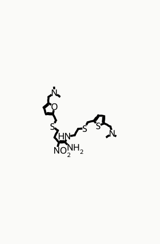 CN(C)Cc1ccc(CSCCC(=C(N)NCCSCc2ccc(CN(C)C)s2)[N+](=O)[O-])o1